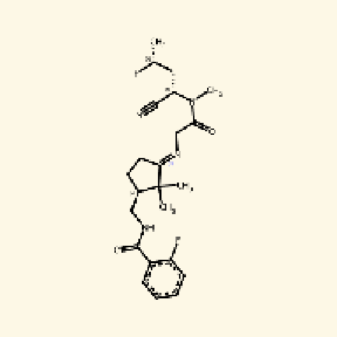 C[C@@H](F)C[C@@H](C#N)N(C)C(=O)C/N=C1\CC[C@H](CNC(=O)c2ccccc2F)C1(C)C